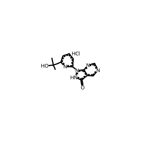 CC(C)(O)c1cccc(-n2[nH]c(=O)c3cncnc32)n1.Cl